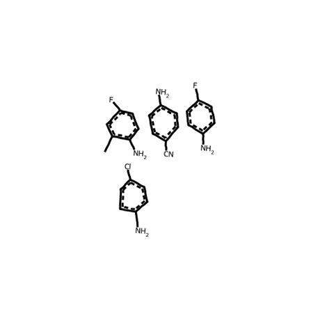 Cc1cc(F)ccc1N.N#Cc1ccc(N)cc1.Nc1ccc(Cl)cc1.Nc1ccc(F)cc1